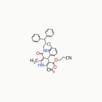 CC1=C(C(=O)NCCC(c2ccccc2)c2ccccc2)C(c2cccc(Cl)c2)C(C(=O)OCCC#N)=C(C)N1